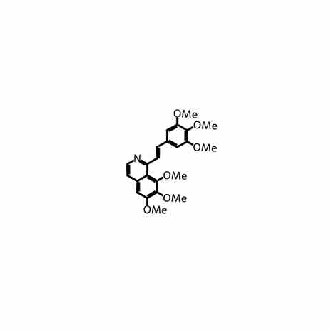 COc1cc(C=Cc2nccc3cc(OC)c(OC)c(OC)c23)cc(OC)c1OC